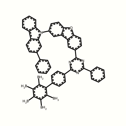 Bc1c(B)c(B)c(-c2ccc(-c3nc(-c4ccccc4)nc(-c4ccc5oc6ccc(-n7c8ccccc8c8ccc(-c9ccccc9)cc87)cc6c5c4)n3)cc2)c(B)c1B